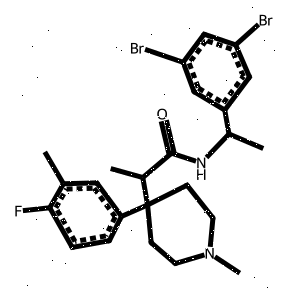 Cc1cc(C2(C(C)C(=O)NC(C)c3cc(Br)cc(Br)c3)CCN(C)CC2)ccc1F